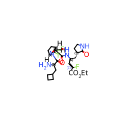 CCOC(=O)/C(F)=C/[C@H](C[C@@H]1CCNC1=O)NC(=O)[C@H]1[C@@H]2CC[C@@H](CC2(F)F)N1C(=O)[C@H](N)CC1CCC1